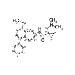 COc1ccc(-c2ccccc2)c2ncc(NC(=O)C3(CN(C)C)CC3)nc12